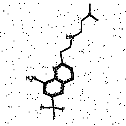 CN(C)CCNCCc1ccc2cc(C(F)(F)F)cc(N)c2n1